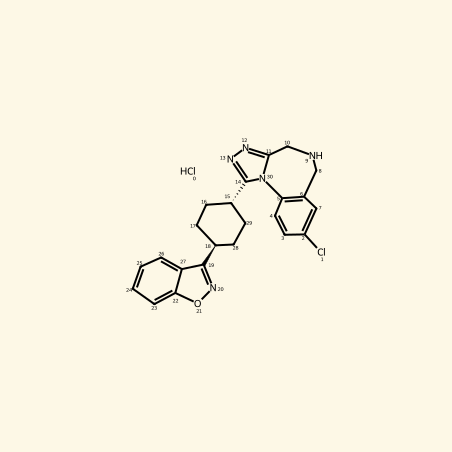 Cl.Clc1ccc2c(c1)CNCc1nnc([C@H]3CC[C@H](c4noc5ccccc54)CC3)n1-2